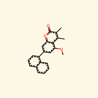 COc1cc(-c2cccc3ccccc23)cc2oc(=O)c(C)c(C)c12